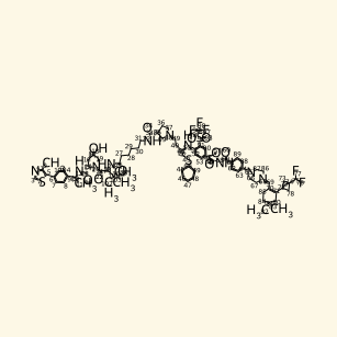 Cc1ncsc1-c1ccc([C@H](C)NC(=O)[C@@H]2C[C@@H](O)CN2C(=O)[C@@H](NC(=O)CCCCCNC(=O)[C@@H]2CCN(CC[C@H](CSc3ccccc3)Nc3ccc(S(=O)(=O)NC(=O)c4ccc(N5CCN(CC6=C(C78CC(C(F)F)(C7)C8)CC(C)(C)CC6)CC5)cc4)cc3S(=O)(=O)C(F)(F)F)C2)C(C)(C)C)cc1